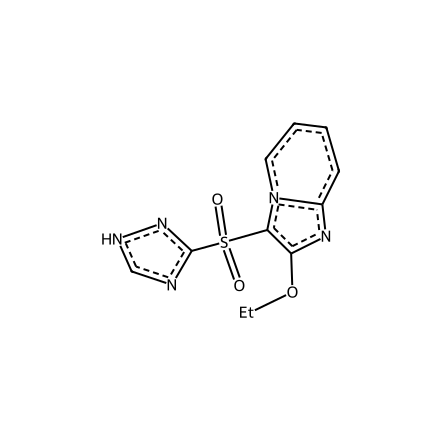 CCOc1nc2ccccn2c1S(=O)(=O)c1nc[nH]n1